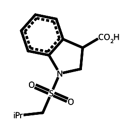 CC(C)CS(=O)(=O)N1CC(C(=O)O)c2ccccc21